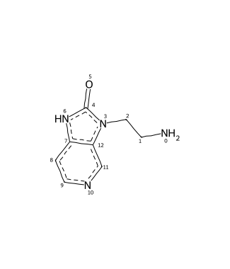 NCCn1c(=O)[nH]c2ccncc21